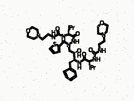 CC(C)[C@H](NC(=O)NCCN1CCOCC1)C(=O)N[C@@H](Cc1ccccc1)[C@@H](O)CN(Cc1cccs1)NC(=O)[C@@H](NC(=O)NCCN1CCOCC1)C(C)C